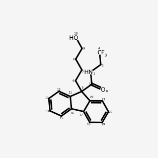 O=C(NCC(F)(F)F)C1(CCCCO)c2ccccc2-c2ccccc21